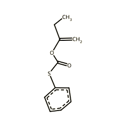 C=C(CC)OC(=O)Sc1ccccc1